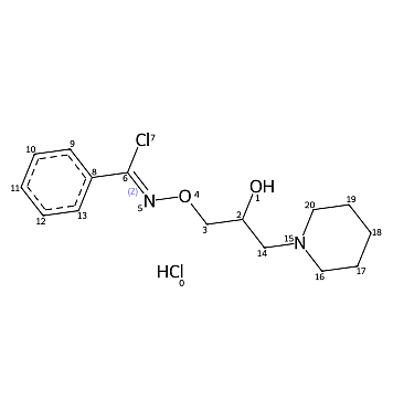 Cl.OC(CO/N=C(\Cl)c1ccccc1)CN1CCCCC1